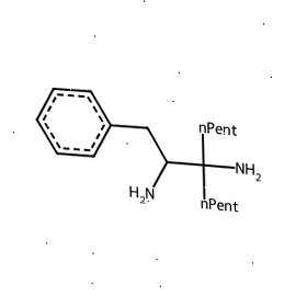 CCCCCC(N)(CCCCC)C(N)Cc1ccccc1